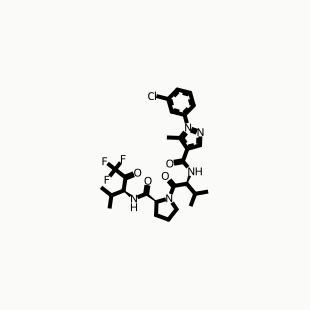 Cc1c(C(=O)N[C@H](C(=O)N2CCC[C@H]2C(=O)N[C@H](C(=O)C(F)(F)F)C(C)C)C(C)C)cnn1-c1cccc(Cl)c1